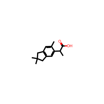 Cc1cc2c(cc1C(C)C(=O)O)CC(C)(C)C2